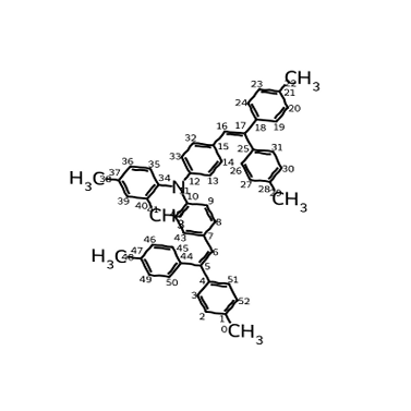 Cc1ccc(C(=Cc2ccc(N(c3ccc(C=C(c4ccc(C)cc4)c4ccc(C)cc4)cc3)c3ccc(C)cc3C)cc2)c2ccc(C)cc2)cc1